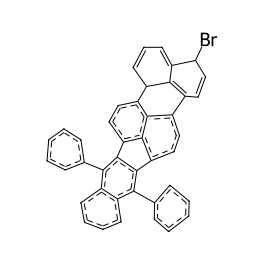 BrC1C=CC2=C3C1=CC=CC3c1ccc3c4c(ccc2c14)-c1c-3c(-c2ccccc2)c2ccccc2c1-c1ccccc1